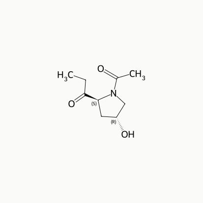 CCC(=O)[C@@H]1C[C@@H](O)CN1C(C)=O